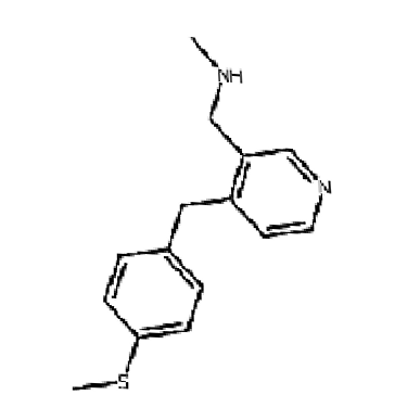 CNCc1cnccc1Cc1ccc(SC)cc1